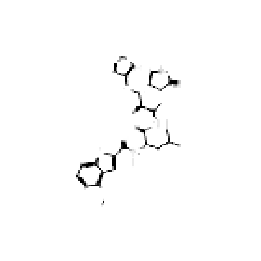 COc1cccc2[nH]c(C(=O)NC(CC(C)C)C(=O)NC(C[C@@H]3CCNC3=O)C(=O)COc3cnoc3)cc12